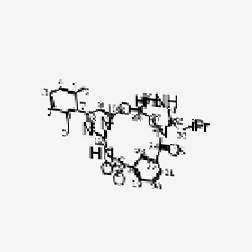 Cc1cccc(C)c1-c1cc2nc(n1)NS(=O)(=O)c1cccc(c1)C(=O)N1C[C@@H](CNC[C@@H]1CC(C)C)O2